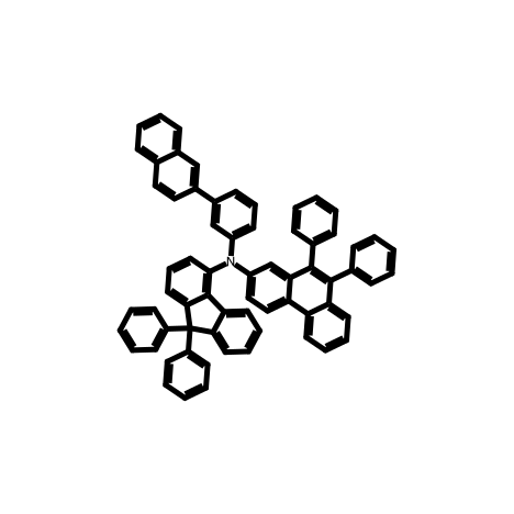 c1ccc(-c2c(-c3ccccc3)c3cc(N(c4cccc(-c5ccc6ccccc6c5)c4)c4cccc5c4-c4ccccc4C5(c4ccccc4)c4ccccc4)ccc3c3ccccc23)cc1